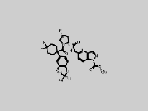 [2H]C([2H])([2H])Oc1ccc(C2(C(=O)N3C[C@H](F)C[C@@H]3C(=O)Nc3ccc4c(cnn4C(=O)OC(C)(C)C)n3)CCC(F)(F)CC2)cc1F